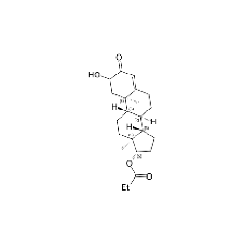 CCC(=O)O[C@H]1CC[C@H]2[C@@H]3CCC4=CC(=O)C(O)C[C@]4(C)[C@H]3CC[C@]12C